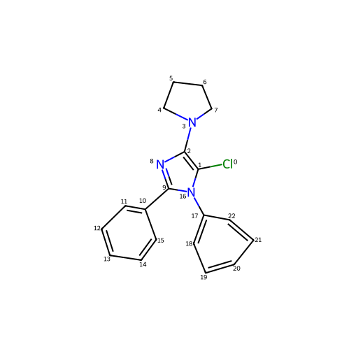 Clc1c(N2CCCC2)nc(-c2ccccc2)n1-c1ccccc1